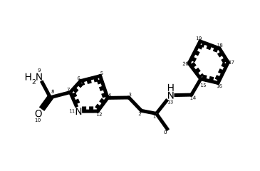 CC(CCc1ccc(C(N)=O)nc1)NCc1ccccc1